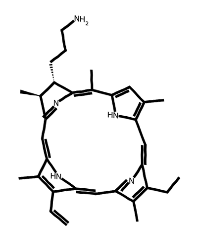 C=Cc1c(C)c2cc3nc(c(C)c4cc(C)c(cc5nc(cc1[nH]2)C(C)=C5CC)[nH]4)[C@@H](CCCN)[C@@H]3C